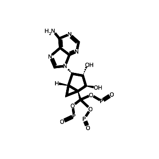 Nc1ncnc2c1ncn2[C@@H]1[C@H](O)[C@@H](O)[C@]2(C(OP=O)(OP=O)OP=O)C[C@H]12